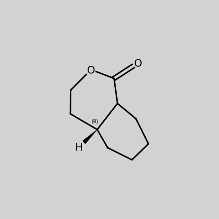 O=C1OCC[C@H]2CCCCC12